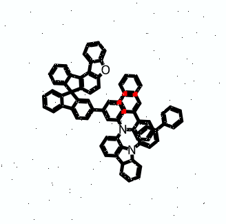 C1=CC2c3cccc(N(c4cc(-c5ccccc5)cc(-c5ccc6c(c5)C5(c7ccccc7-6)c6ccccc6-c6c5ccc5oc7ccccc7c65)c4)c4ccccc4-c4ccccc4)c3N(c3ccc(-c4ccccc4)cc3)C2C=C1